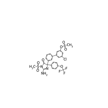 CS(=O)(=O)Oc1cc(Cl)cc(-c2cccc(C3(c4ccc(OC(F)(F)F)cc4)N=C(N)N(S(C)(=O)=O)C3=O)c2)c1